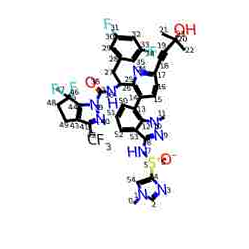 Cn1cnc([S+]([O-])Nc2nn(C)c3c(-c4ccc(C#CC(C)(C)O)nc4C(Cc4cc(F)cc(F)c4)NC(=O)n4nc(C(F)(F)F)c5c4C(F)(F)CC5)cccc23)c1